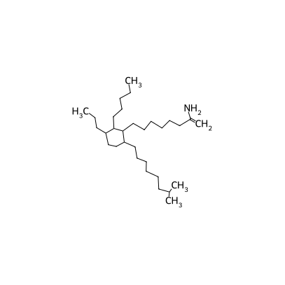 C=C(N)CCCCCCC1C(CCCCCCC(C)C)CCC(CCC)C1CCCCC